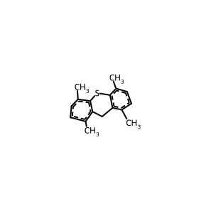 Cc1ccc(C)c2c1Cc1c(C)ccc(C)c1S2